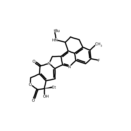 CC[C@@]1(O)C(=O)OCc2c1cc1n(c2=O)Cc2c-1nc1cc(F)c(C)c3c1c2C(NC(C)(C)C)CC3